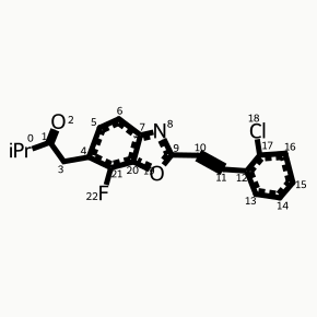 CC(C)C(=O)Cc1ccc2nc(C#Cc3ccccc3Cl)oc2c1F